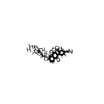 Cn1c2c(c3ccc(C#N)cc31)C(=O)c1ccc(OCCCOC(C)(C)O)cc1C2(C)C